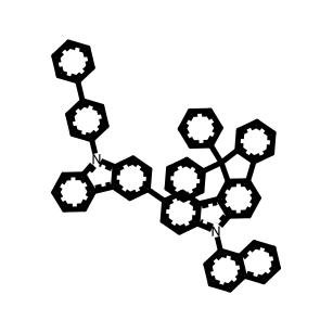 c1ccc(-c2ccc(-n3c4ccccc4c4cc(-c5ccc6c(c5)c5c7c(ccc5n6-c5cccc6ccccc56)-c5ccccc5C7(c5ccccc5)c5ccccc5)ccc43)cc2)cc1